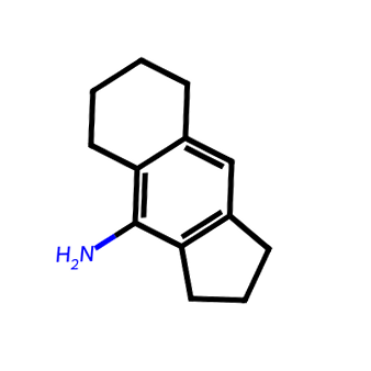 Nc1c2c(cc3c1CCC3)CCCC2